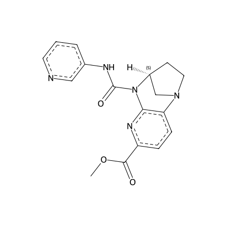 COC(=O)c1ccc2c(n1)N(C(=O)Nc1cccnc1)[C@H]1CCN2C1